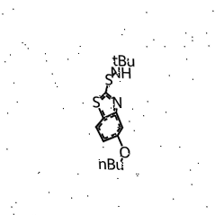 CCCCOc1ccc2sc(SNC(C)(C)C)nc2c1